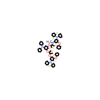 CN1c2cc(N(c3ccccc3)c3c(F)cccc3F)cc3c2B(c2ccccc2O3)c2sc3c(c21)Oc1cc(N(c2ccccc2)c2ccccc2)cc2c1B3c1sc3c(c1O2)Oc1cc(N(c2ccccc2)c2c(F)cccc2F)cc2c1B3c1ccccc1O2